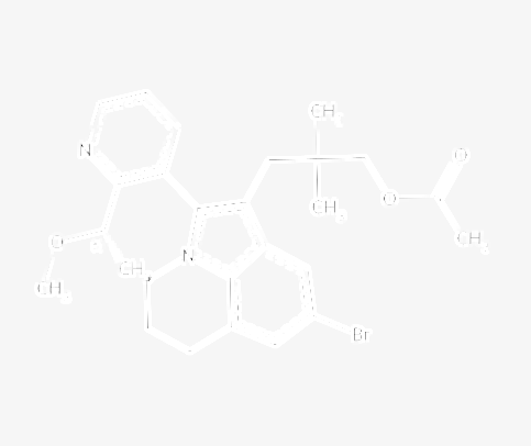 CO[C@@H](C)c1ncccc1-c1c(CC(C)(C)COC(C)=O)c2cc(Br)cc3c2n1CCC3